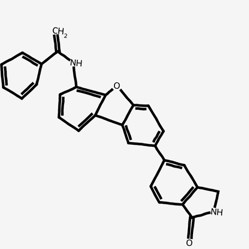 C=C(Nc1cccc2c1oc1ccc(-c3ccc4c(c3)CNC4=O)cc12)c1ccccc1